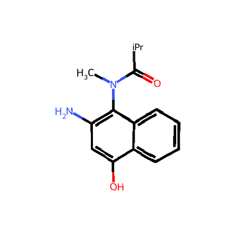 CC(C)C(=O)N(C)c1c(N)cc(O)c2ccccc12